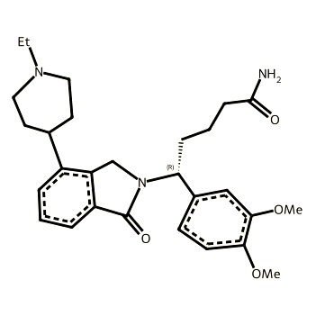 CCN1CCC(c2cccc3c2CN([C@H](CCCC(N)=O)c2ccc(OC)c(OC)c2)C3=O)CC1